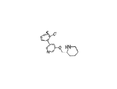 Clc1sccc1-c1cncc(OC[C@H]2CCCCN2)c1